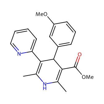 COC(=O)C1=C(C)NC(C)=C(c2ccccn2)C1c1cccc(OC)c1